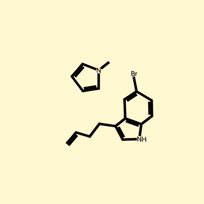 C=CCCc1c[nH]c2ccc(Br)cc12.Cn1cccc1